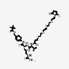 CC(C)C(NC(=O)CCOCCOCCOCCOCCN1C(=O)C=CC1=O)C(=O)N[C@@H](CCCNC(N)=O)C(=O)Nc1ccc(COC(=O)C(C)(C)C)cc1